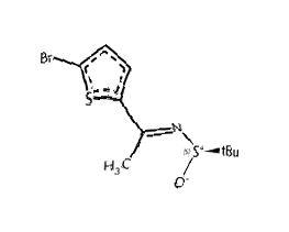 CC(=N[S@+]([O-])C(C)(C)C)c1ccc(Br)s1